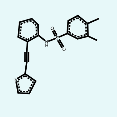 Cc1ccc(S(=O)(=O)Nc2ccccc2C#Cc2cccs2)cc1C